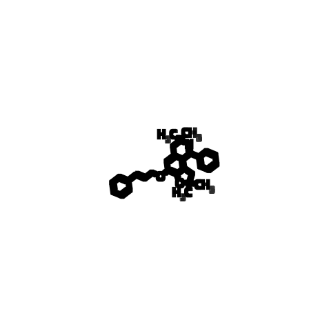 CC1(C)Cc2cc(OC/C=C/c3ccccc3)c3c(c2C(c2ccccc2)=N1)CC(C)(C)O3